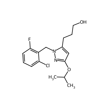 CC(C)Oc1cc(CCCO)n(Cc2c(F)cccc2Cl)n1